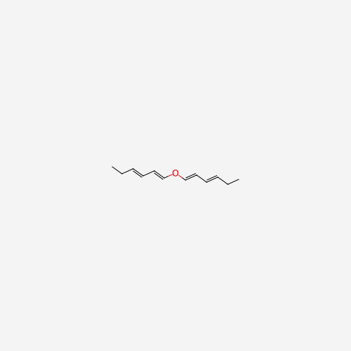 CC/C=C/C=C/O/C=C/C=C/CC